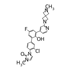 CN1CC2(C1)CN(c1cc(-c3cc(F)cc(-c4ccc(-n5ccn(C)c5=O)c(Cl)c4)c3O)ccn1)C2